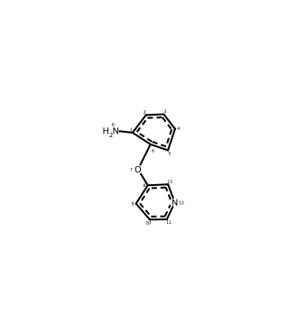 Nc1ccccc1Oc1cccnc1